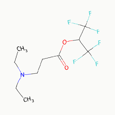 CCN(CC)CCC(=O)OC(C(F)(F)F)C(F)(F)F